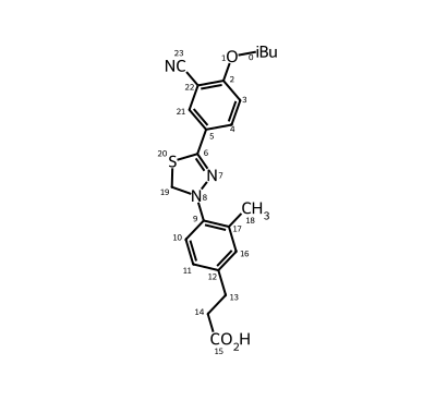 CCC(C)Oc1ccc(C2=NN(c3ccc(CCC(=O)O)cc3C)CS2)cc1C#N